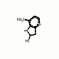 CCOC(=O)c1ccnc2c1NC(O)C2